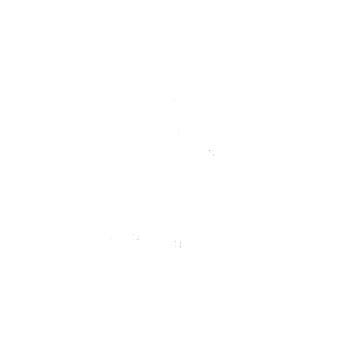 CN1CCN(c2ccccc2C=C2SCCN(C(Cl)c3ccccc3Cl)C2=O)CC1